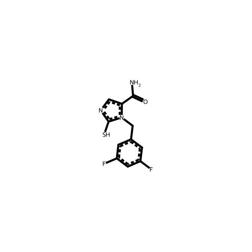 NC(=O)c1cnc(S)n1Cc1cc(F)cc(F)c1